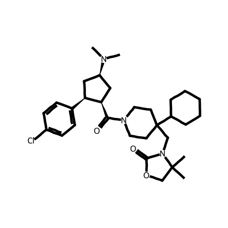 CN(C)[C@@H]1C[C@H](c2ccc(Cl)cc2)[C@H](C(=O)N2CCC(CN3C(=O)OCC3(C)C)(C3CCCCC3)CC2)C1